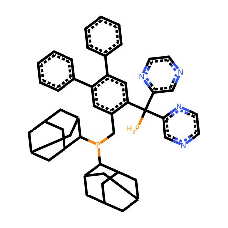 PC(c1cnccn1)(c1cnccn1)c1cc(-c2ccccc2)c(-c2ccccc2)cc1CP(C1C2CC3CC(C2)CC1C3)C1C2CC3CC(C2)CC1C3